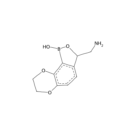 NCC1OB(O)c2c1ccc1c2OCCO1